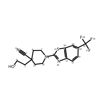 N#CC1(CCO)CCN(c2nc3ccc(C(F)(F)F)cc3s2)CC1